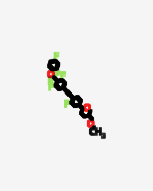 CCOCC1CCC(c2ccc(C#Cc3cc(F)c(C(F)(F)Oc4ccc(F)cc4)c(F)c3)c(F)c2)OC1